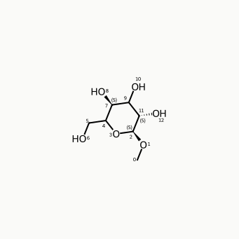 CO[C@H]1OC(CO)[C@@H](O)C(O)[C@@H]1O